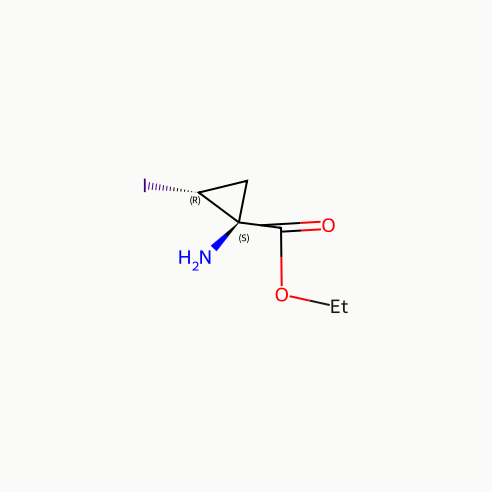 CCOC(=O)[C@@]1(N)C[C@H]1I